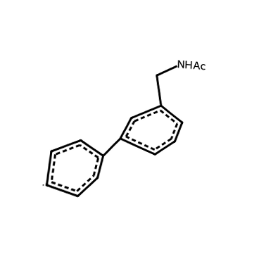 CC(=O)NCc1cccc(-c2cc[c]cc2)c1